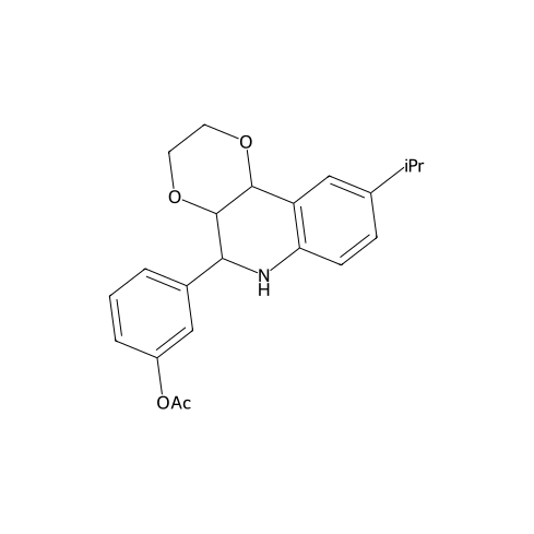 CC(=O)Oc1cccc(C2Nc3ccc(C(C)C)cc3C3OCCOC23)c1